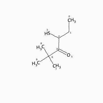 CCC(S)C(=O)C(C)(C)C